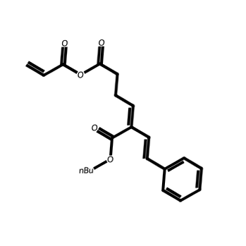 C=CC(=O)OC(=O)CCC=C(C=Cc1ccccc1)C(=O)OCCCC